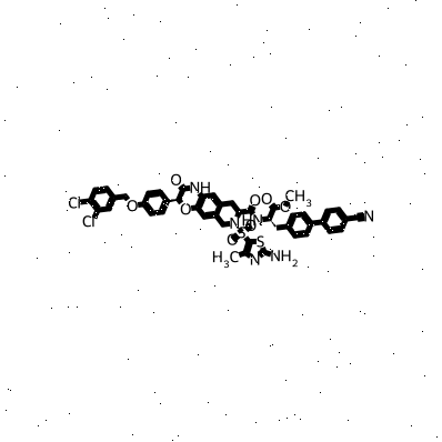 COC(=O)[C@H](Cc1ccc(-c2ccc(C#N)cc2)cc1)NC(=O)C1Cc2cc3c(cc2CN1S(=O)(=O)c1sc(N)nc1C)O[C@@H](c1ccc(OCc2ccc(Cl)c(Cl)c2)cc1)C(=O)N3